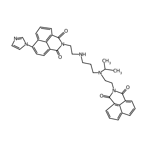 CC(C)N(CCCNCCN1C(=O)c2cccc3c(-n4ccnc4)ccc(c23)C1=O)CCN1C(=O)c2cccc3cccc(c23)C1=O